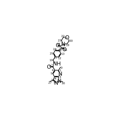 Cc1nc2c(cc1C(=O)NCc1ccc(S(=O)(=O)N3CCOCC3)cc1)c(C)nn2C